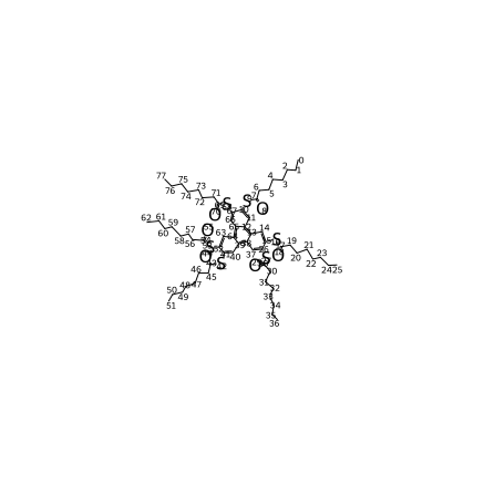 CCCCCCCC(=O)Sc1cc2c3cc(SC(=O)CCCCCCC)c(SC(=O)CCCCCCC)cc3c3cc(SC(=O)CCCCCCC)c(SC(=O)CCCCCCC)cc3c2cc1SC(=O)CCCCCCC